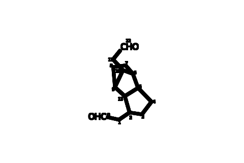 O=CCC1CCC2C3CCC(C3CC=O)C12